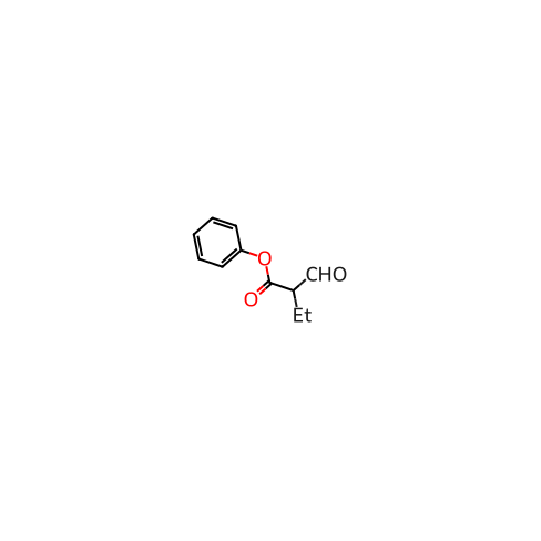 CCC(C=O)C(=O)Oc1ccccc1